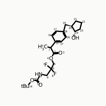 CC(C(=O)OCC(F)(F)CNC(=O)OC(C)(C)C)c1ccc(C[C@H]2CCC[C@@H]2O)cc1